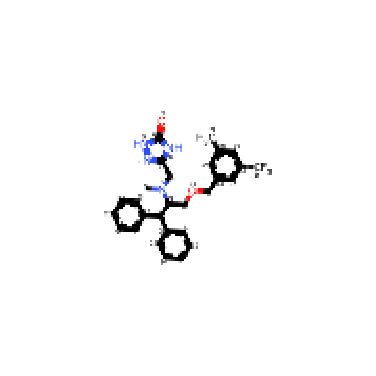 CN(Cc1n[nH]c(=O)[nH]1)C(COCc1cc(C(F)(F)F)cc(C(F)(F)F)c1)C(c1ccccc1)c1ccccc1